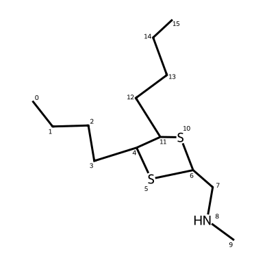 CCCCC1SC(CNC)SC1CCCC